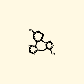 CCCc1ncn2c1Cn1ncnc1-c1cc(Br)ccc1-2